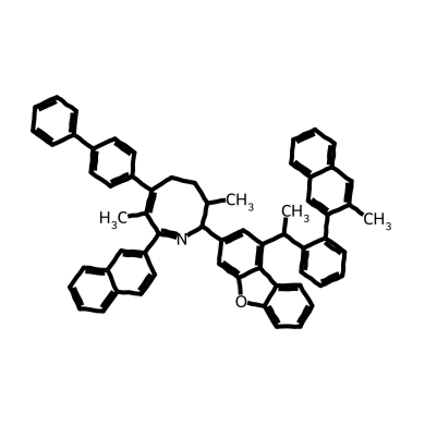 CC1=C(\c2ccc(-c3ccccc3)cc2)CCC(C)C(c2cc(C(C)c3ccccc3-c3cc4ccccc4cc3C)c3c(c2)oc2ccccc23)/N=C\1c1ccc2ccccc2c1